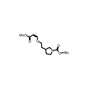 COC(=O)/C=C\OCCC1CCN(C(=O)OC(C)(C)C)C1